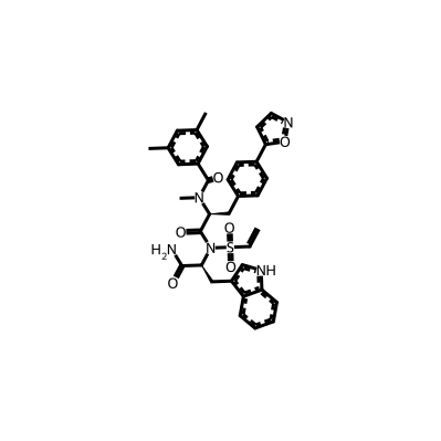 C=CS(=O)(=O)N(C(=O)[C@H](Cc1ccc(-c2ccno2)cc1)N(C)C(=O)c1cc(C)cc(C)c1)[C@@H](Cc1c[nH]c2ccccc12)C(N)=O